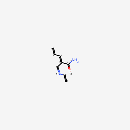 C=C/C=C(\C=N/C=C)C(N)=O